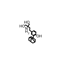 NC(CO)(CO)CCc1ccc(O)c(C23CC4CC(CC(C4)C2)C3)c1